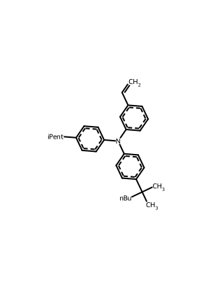 C=Cc1cccc(N(c2ccc(C(C)CCC)cc2)c2ccc(C(C)(C)CCCC)cc2)c1